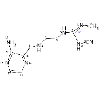 C/N=C(\NC#N)NCCNCc1nccnc1N